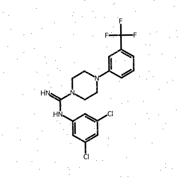 N=C(Nc1cc(Cl)cc(Cl)c1)N1CCN(c2cccc(C(F)(F)F)c2)CC1